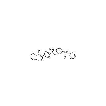 CC1CCCCC1C(=O)Nc1ccc(C2Cc3cc(NC(=O)c4ccncc4)ccc3N2)cc1